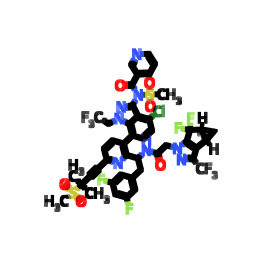 CC(C)(C#Cc1ccc(-c2ccc(Cl)c3c(N(C(=O)c4cccnc4)S(C)(=O)=O)nn(CC(F)(F)F)c23)c(C(Cc2cc(F)cc(F)c2)NC(=O)Cn2nc(C(F)(F)F)c3c2C(F)(F)[C@@H]2C[C@H]32)n1)S(C)(=O)=O